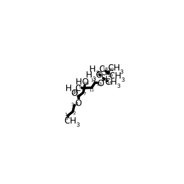 CCCCOC(=O)CC(C)(O)CCO[Si](C)(C)C(C)(C)C